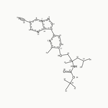 Cc1nc(-c2cnn3cc(C#N)cnc23)ccc1OCC(C)(CC(C)C)NC(=O)OC(C)(C)C